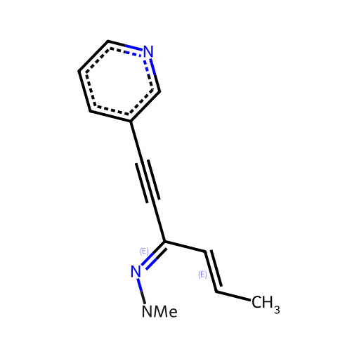 C/C=C/C(C#Cc1cccnc1)=N\NC